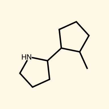 CC1CCCC1C1CCCN1